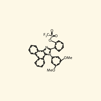 COc1cc(OC)cc(-n2c(-c3ccccc3OS(=O)(=O)C(F)(F)F)nc3c4ccccc4c4ccccc4c32)c1